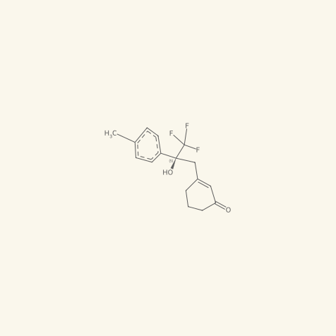 Cc1ccc([C@@](O)(CC2=CC(=O)CCC2)C(F)(F)F)cc1